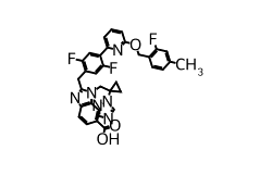 Cc1ccc(COc2cccc(-c3cc(F)c(Cc4nc5ccc(C(=O)O)cc5n4CC4(n5cncn5)CC4)cc3F)n2)c(F)c1